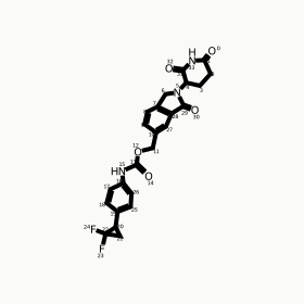 O=C1CCC(N2Cc3ccc(COC(=O)Nc4ccc(C5CC5(F)F)cc4)cc3C2=O)C(=O)N1